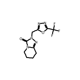 O=c1n(Cc2nnc(C(F)(F)F)o2)nc2n1CCCC2